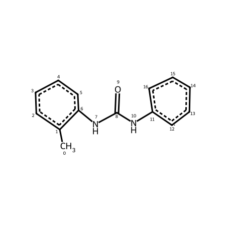 Cc1ccccc1NC(=O)Nc1[c]cccc1